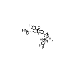 C[C@@]1(c2nc3cc(F)c(F)cc3[nH]2)CC(c2ccc3c(=O)n(-c4ccc(F)cc4)c(CCCCC(=O)O)nc3c2)=NO1